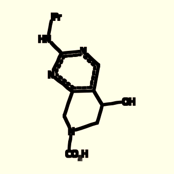 CC(C)Nc1ncc2c(n1)CN(C(=O)O)CC2O